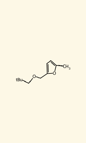 Cc1ccc(COCC(C)(C)C)o1